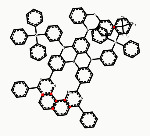 CC(C)(C)c1ccc2c(c1)Sc1ccccc1N2c1cc2c3c(c1)N(c1cccc([Si](c4ccccc4)(c4ccccc4)c4ccccc4)c1)c1ccc(-c4nc(-c5ccccc5)nc(-c5ccccc5)n4)cc1B3c1cc(-c3nc(-c4ccccc4)nc(-c4ccccc4)n3)ccc1N2c1cccc([Si](c2ccccc2)(c2ccccc2)c2ccccc2)c1